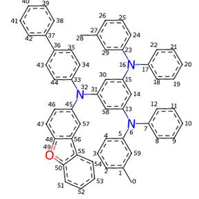 Cc1cccc(N(c2ccccc2)c2cc(N(c3ccccc3)c3cccc(C)c3)cc(N(c3ccc(-c4ccccc4)cc3)c3ccc4oc5ccccc5c4c3)c2)c1